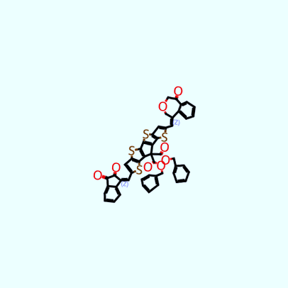 O=C1C(=O)c2ccccc2/C1=C/c1cc2sc3c(c2s1)C(C(=O)OCc1ccccc1)(C(=O)OCc1ccccc1)c1c-3sc2cc(/C=C3\COCC(=O)c4ccccc43)sc12